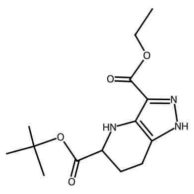 CCOC(=O)c1n[nH]c2c1NC(C(=O)OC(C)(C)C)CC2